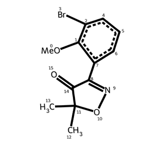 COc1c(Br)cccc1C1=NOC(C)(C)C1=O